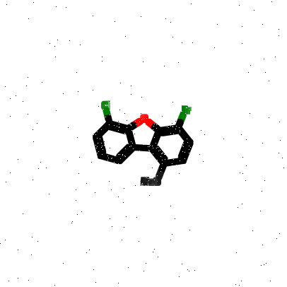 COc1ccc(Br)c2oc3c(Cl)cccc3c12